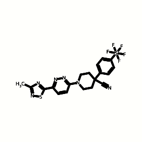 Cc1nsc(-c2ccc(N3CCC(C#N)(c4ccc(S(F)(F)(F)(F)F)cc4)CC3)nn2)n1